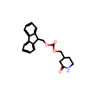 O=C1CC(COC(=O)OCC2c3ccccc3-c3ccccc32)CCN1